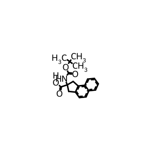 CC(C)(C)OC(=O)NC1(C(=O)O)Cc2ccc3ccccc3c2C1